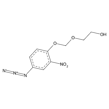 [N-]=[N+]=Nc1ccc(OCOCCO)c([N+](=O)[O-])c1